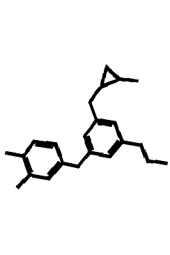 CCCc1cc(Cc2ccc(C)c(C)c2)cc(CC2CC2C)c1